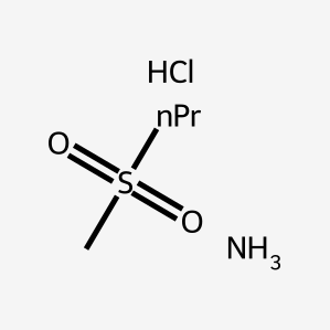 CCCS(C)(=O)=O.Cl.N